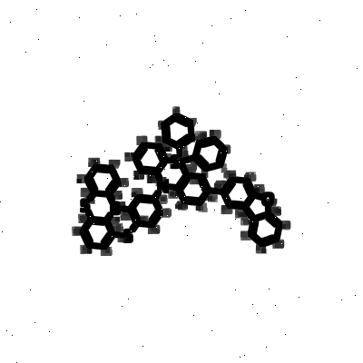 c1ccc([Si]2(c3ccccc3)c3ccccc3N(c3ccc4c(c3)B3c5ccccc5Sc5cccc(c53)S4)c3ccc(-c4ccc5oc6ccccc6c5c4)cc32)cc1